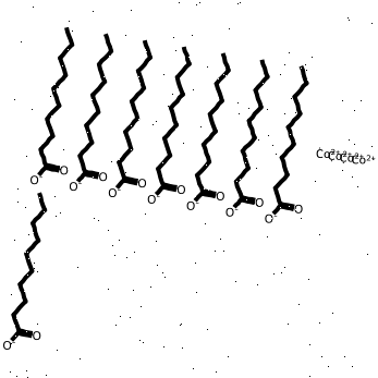 CCCCCCCCCC(=O)[O-].CCCCCCCCCC(=O)[O-].CCCCCCCCCC(=O)[O-].CCCCCCCCCC(=O)[O-].CCCCCCCCCC(=O)[O-].CCCCCCCCCC(=O)[O-].CCCCCCCCCC(=O)[O-].CCCCCCCCCC(=O)[O-].[Co+2].[Co+2].[Co+2].[Co+2]